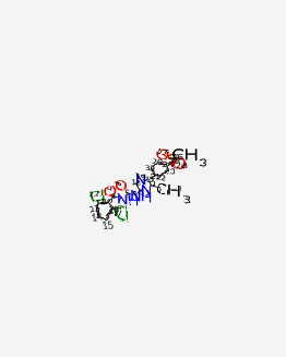 Cc1nc(NC(=O)NC(=O)c2c(Cl)cccc2Cl)cnc1-c1ccc(S(C)(=O)=O)cc1